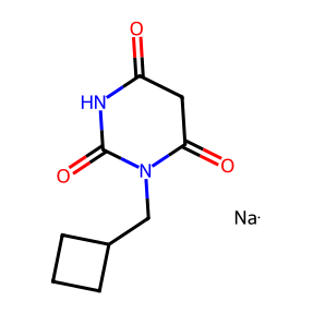 O=C1CC(=O)N(CC2CCC2)C(=O)N1.[Na]